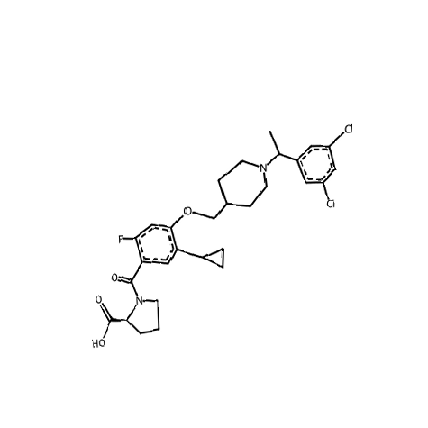 CC(c1cc(Cl)cc(Cl)c1)N1CCC(COc2cc(F)c(C(=O)N3CCC[C@H]3C(=O)O)cc2C2CC2)CC1